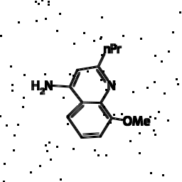 CCCc1cc(N)c2cccc(OC)c2n1